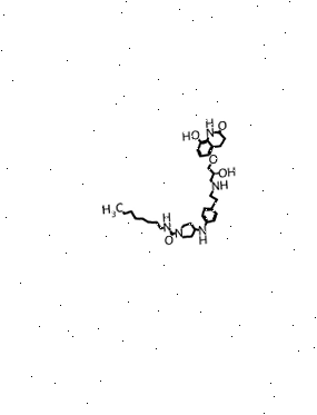 CCCCCCCCNC(=O)N1CCC(Nc2ccc(CCNC[C@H](O)COc3ccc(O)c4c3CCC(=O)N4)cc2)CC1